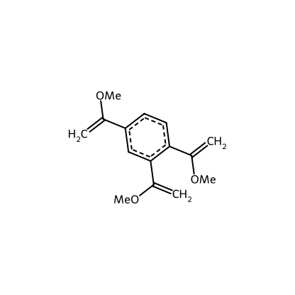 C=C(OC)c1ccc(C(=C)OC)c(C(=C)OC)c1